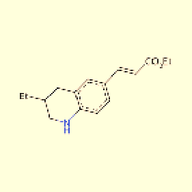 CCOC(=O)C=Cc1ccc2c(c1)CC(CC)CN2